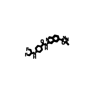 Cc1nnc(-c2ccc3cnc(NC(=O)C4CCC(NC(CF)CF)CC4)cc3c2)o1